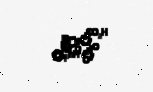 CCCc1c(C(=O)N(CC(C)C)[C@H]2C[C@@H](C(=O)N3CCOCC3)CN(C(=O)O)C2)nnn1-c1ccccc1F